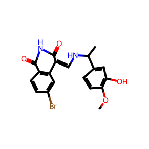 COc1ccc(C(C)NC=C2C(=O)NC(=O)c3ccc(Br)cc32)cc1O